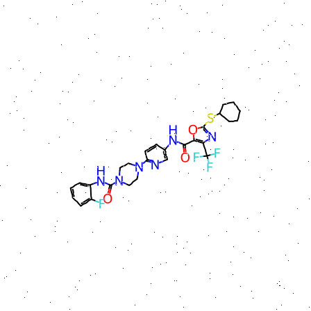 O=C(Nc1ccc(N2CCN(C(=O)Nc3ccccc3F)CC2)nc1)c1oc(SC2CCCCC2)nc1C(F)(F)F